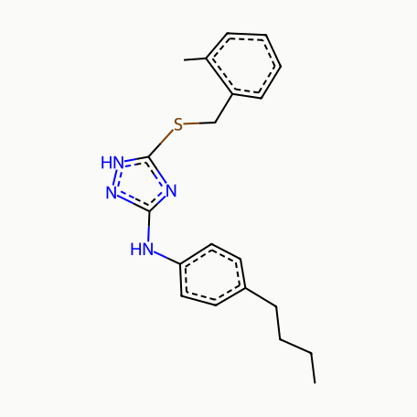 CCCCc1ccc(Nc2n[nH]c(SCc3ccccc3C)n2)cc1